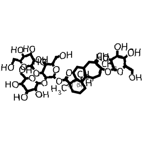 C=C1CC2CCC3[C@](C)(C(=O)OC4OC(CO)C(O)C(OC5OC(CO)C(O)C(O)C5O)C4OC4OC(CO)C(O)C(O)C4O)CCC[C@@]3(C)[C@@H]2CCC1(C)OC1OC(CO)C(O)C(O)C1O